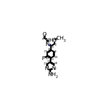 COC/C(=N\NC=O)c1ccc(-c2cnc(N)nc2)c(F)c1